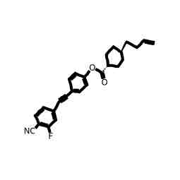 C=CCC[C@H]1CC[C@H](C(=O)Oc2ccc(C#Cc3ccc(C#N)c(F)c3)cc2)CC1